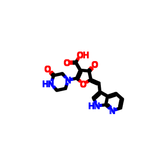 O=C1CN(C2=C(C(=O)O)C(=O)/C(=C/c3c[nH]c4ncccc34)O2)CCN1